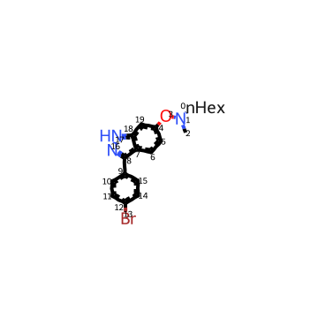 CCCCCCN(C)Oc1ccc2c(-c3ccc(Br)cc3)n[nH]c2c1